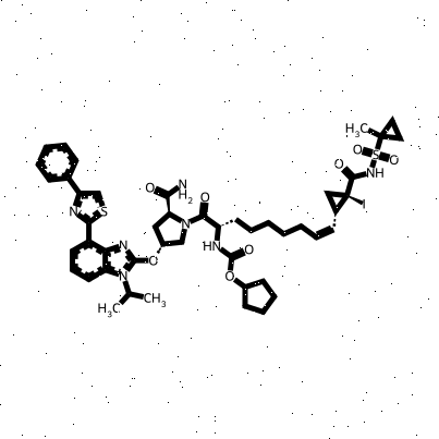 CC(C)n1c(O[C@@H]2C[C@@H](C(N)=O)N(C(=O)[C@H](CCCCC/C=C\[C@@H]3C[C@]3(I)C(=O)NS(=O)(=O)C3(C)CC3)NC(=O)OC3CCCC3)C2)nc2c(-c3nc(-c4ccccc4)cs3)cccc21